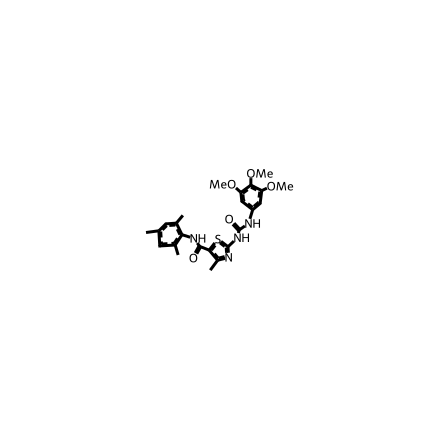 COc1cc(NC(=O)Nc2nc(C)c(C(=O)Nc3c(C)cc(C)cc3C)s2)cc(OC)c1OC